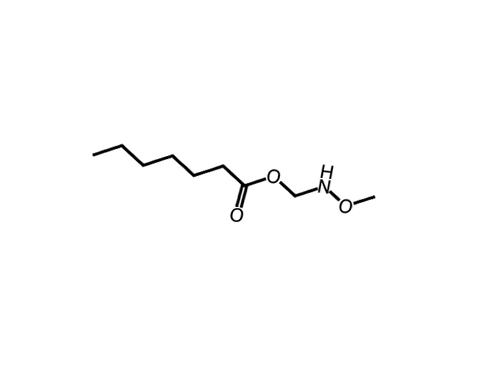 CCCCCCC(=O)OCNOC